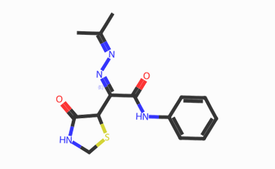 CC(C)=N/N=C(\C(=O)Nc1ccccc1)C1SCNC1=O